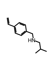 C=Cc1ccc(CNCC(C)C)cc1